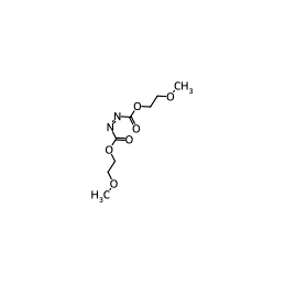 COCCOC(=O)/N=N\C(=O)OCCOC